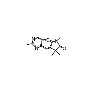 Cc1ncc2cc3c(cc2n1)C(C)(C)C(=O)N3C